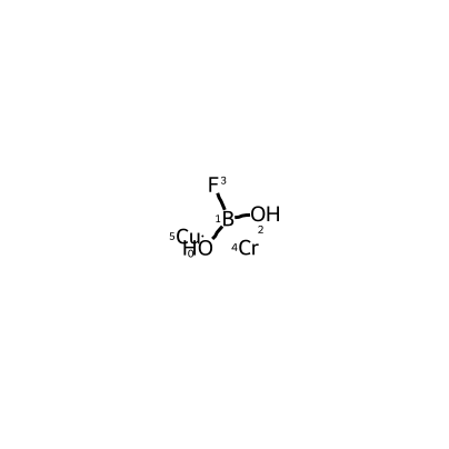 OB(O)F.[Cr].[Cu]